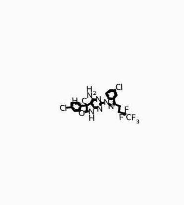 CC1(c2ccc(Cl)cc2)C(=O)Nc2nc(-n3nc(CCC(F)(F)C(F)(F)F)c4cc(Cl)ccc43)nc(N)c21